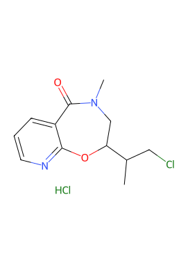 CC(CCl)C1CN(C)C(=O)c2cccnc2O1.Cl